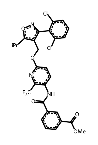 COC(=O)c1cccc(C(=O)Nc2ccc(OCc3c(-c4c(Cl)cccc4Cl)noc3C(C)C)nc2C(F)(F)F)c1